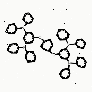 c1ccc(N(c2ccccc2)c2cc(Oc3ccc(Oc4cc(N(c5ccccc5)c5ccccc5)cc(N(c5ccccc5)c5ccccc5)c4)cc3)cc(N(c3ccccc3)c3ccccc3)c2)cc1